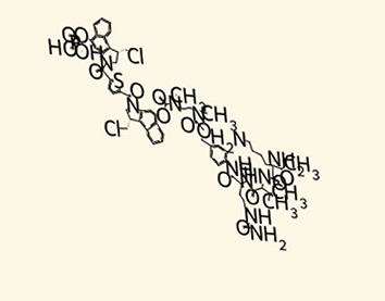 CC(=O)[C@](N)(CCCCN)C(=O)N[C@H](C(=O)N[C@@H](CCCNC(N)=O)C(=O)Nc1ccc(COC(=O)N(C)CCN(C)C(=O)Oc2cc3c(c4ccccc24)[C@H](CCl)CN3C(=O)c2ccc(C(=O)N3C[C@@H](CCl)c4c3cc(OP(=O)(O)O)c3ccccc43)s2)cc1)C(C)C